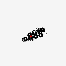 CN(CCN1CCOCC1)C(=O)c1cccc(C(=O)N(C(N)=O)c2ccccc2-c2ccccn2)c1C(c1ccccc1)C(F)(F)F